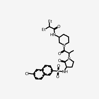 CCC(CC)C(=O)NC1CCCN(C(=O)C(C)N2CCC(NS(=O)(=O)c3ccc4cc(Cl)ccc4c3)C2=O)C1